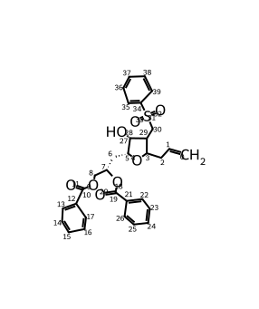 C=CCC1O[C@H](C[C@@H](COC(=O)c2ccccc2)OC(=O)c2ccccc2)[C@H](O)C1CS(=O)(=O)c1ccccc1